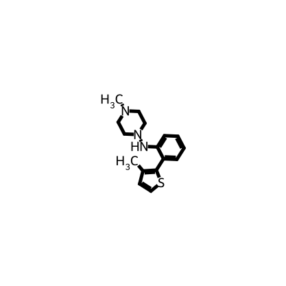 Cc1ccsc1-c1ccccc1NN1CCN(C)CC1